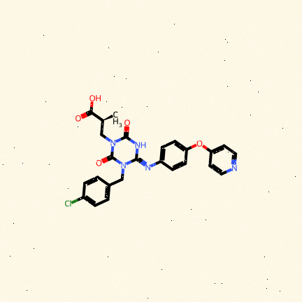 C[C@@H](Cn1c(=O)[nH]/c(=N\c2ccc(Oc3ccncc3)cc2)n(Cc2ccc(Cl)cc2)c1=O)C(=O)O